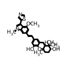 COc1cc(/C=C/c2cc(O)c3c(c2)C[C@@H]2C(C)(C)[C@H](O)CC[C@@]2(C)O3)cc2c1c(-c1cncs1)cn2C